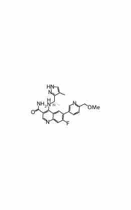 COCc1ccc(-c2cc3c(N[C@@H](C)c4n[nH]cc4C)c(C(N)=O)cnc3cc2F)cn1